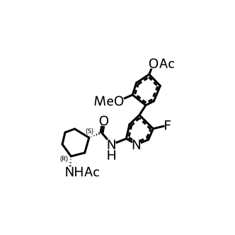 COc1cc(OC(C)=O)ccc1-c1cc(NC(=O)[C@H]2CCC[C@@H](NC(C)=O)C2)ncc1F